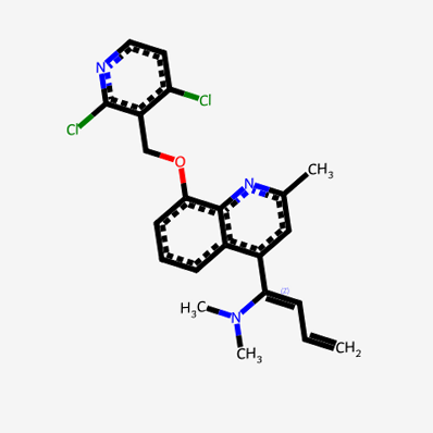 C=C/C=C(/c1cc(C)nc2c(OCc3c(Cl)ccnc3Cl)cccc12)N(C)C